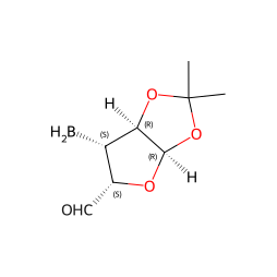 B[C@@H]1[C@H]2OC(C)(C)O[C@H]2O[C@@H]1C=O